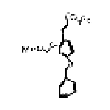 CCOC(=O)C=Cc1ccc(OCc2ccccc2)cc1OCOC